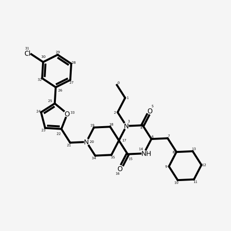 CCCN1C(=O)C(CC2CCCCC2)NC(=O)C12CCN(Cc1ccc(-c3cccc(Cl)c3)o1)CC2